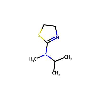 CC(C)N(C)C1=NCCS1